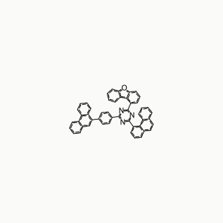 c1ccc2c(c1)cc(-c1ccc(-c3nc(-c4cccc5ccc6ccccc6c45)nc(-c4cccc5oc6ccccc6c45)n3)cc1)c1ccccc12